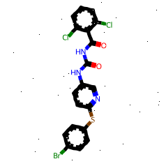 O=C(NC(=O)c1c(Cl)cccc1Cl)Nc1ccc(Sc2ccc(Br)cc2)nc1